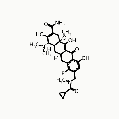 CO[C@@]12CC(C(N)=O)=C(O)[C@@H](N(C)C)[C@@H]1C[C@@H]1Cc3c(F)c(CN(C)C(=O)C4CC4)cc(O)c3C(=O)C1=C2O